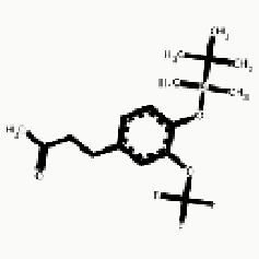 CC(=O)CCc1ccc(O[Si](C)(C)C(C)(C)C)c(OC(F)(F)F)c1